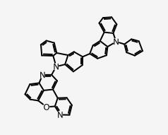 c1ccc(-n2c3ccccc3c3cc(-c4ccc5c(c4)c4ccccc4n5-c4cc5c6c(cccc6n4)Oc4ncccc4-5)ccc32)cc1